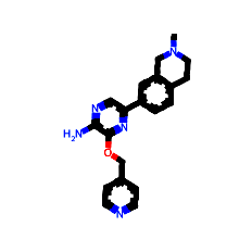 CN1CCc2ccc(-c3cnc(N)c(OCc4ccncc4)n3)cc2C1